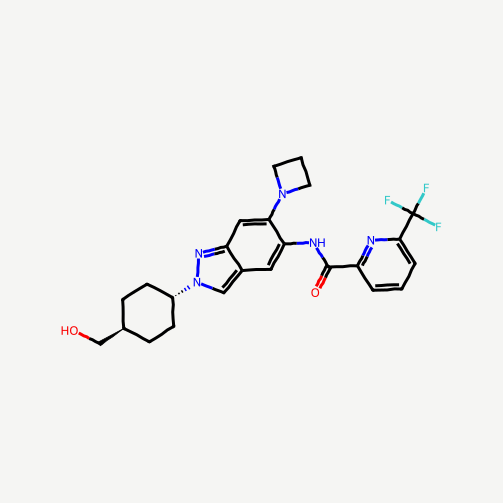 O=C(Nc1cc2cn([C@H]3CC[C@H](CO)CC3)nc2cc1N1CCC1)c1cccc(C(F)(F)F)n1